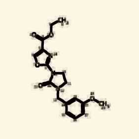 CCOC(=O)c1coc(N2CCN(Cc3cccc(OC)c3)C2=O)n1